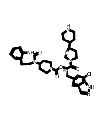 O=C(O[C@H](Cc1cc(Cl)c2[nH]ncc2c1)C(=O)N1CCC(C2CCNCC2)CC1)N1CCC(N2CCc3ccccc3NC2=O)CC1